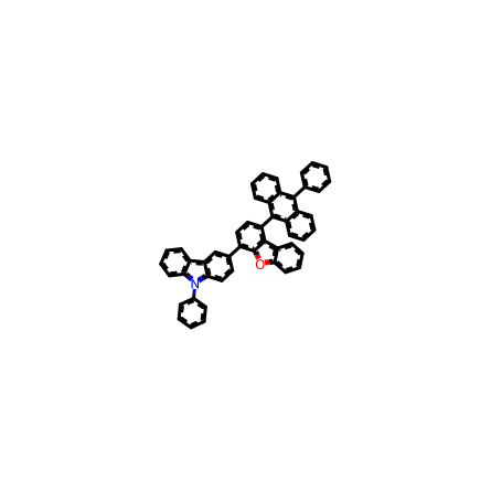 c1ccc(-c2c3ccccc3c(-c3ccc(-c4ccc5c(c4)c4ccccc4n5-c4ccccc4)c4oc5ccccc5c34)c3ccccc23)cc1